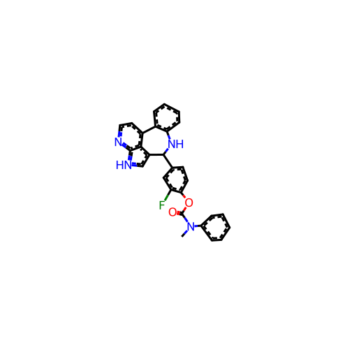 CN(C(=O)Oc1ccc(C2Nc3ccccc3-c3ccnc4[nH]cc2c34)cc1F)c1ccccc1